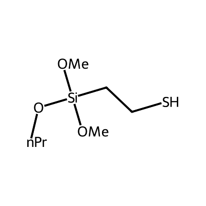 CCCO[Si](CCS)(OC)OC